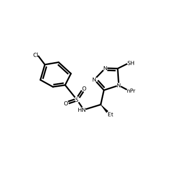 CCCn1c(S)nnc1[C@@H](CC)NS(=O)(=O)c1ccc(Cl)cc1